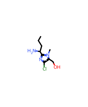 CCCC(N)c1nc(Cl)c(CO)n1C